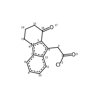 O=C(Cl)Cc1c2n(c3ccccc13)CCCC2=O